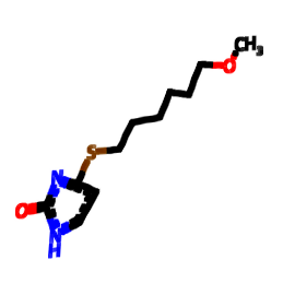 COCCCCCCSc1cc[nH]c(=O)n1